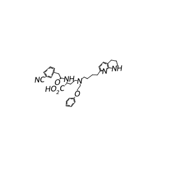 N#Cc1cccc(CC(=O)NC(CCN(CCCCc2ccc3c(n2)NCCC3)CCOc2ccccc2)C(=O)O)c1